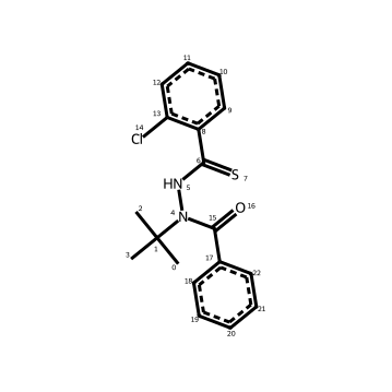 CC(C)(C)N(NC(=S)c1ccccc1Cl)C(=O)c1ccccc1